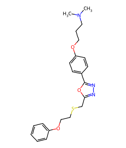 CN(C)CCCOc1ccc(-c2nnc(CSCCOc3ccccc3)o2)cc1